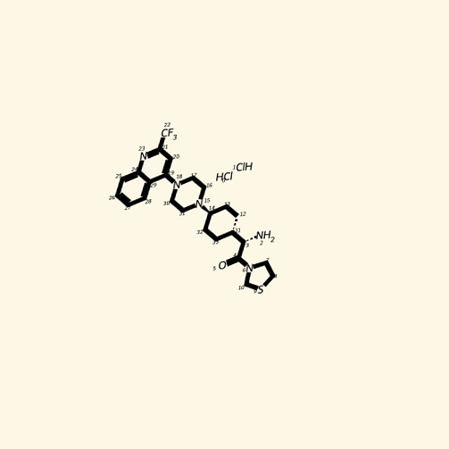 Cl.Cl.N[C@H](C(=O)N1CCSC1)[C@H]1CC[C@H](N2CCN(c3cc(C(F)(F)F)nc4ccccc34)CC2)CC1